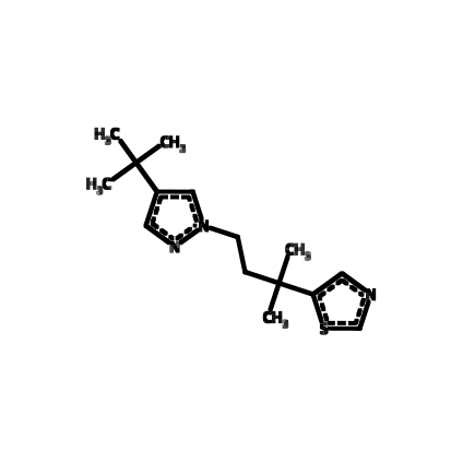 CC(C)(C)c1cnn(CCC(C)(C)c2cncs2)c1